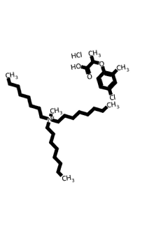 CCCCCCCC[N+](C)(CCCCCCCC)CCCCCCCC.Cc1cc(Cl)ccc1OC(C)C(=O)O.Cl